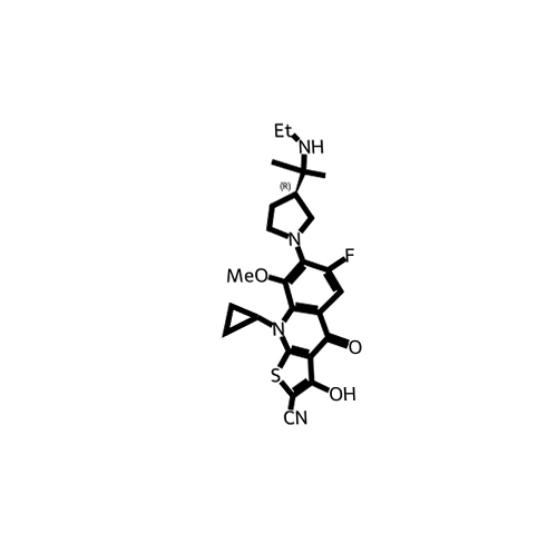 CCNC(C)(C)[C@@H]1CCN(c2c(F)cc3c(=O)c4c(O)c(C#N)sc4n(C4CC4)c3c2OC)C1